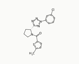 Cc1ccc(C(=O)N2CCC[C@@H]2c2nnn(-c3cccc(Cl)c3)n2)s1